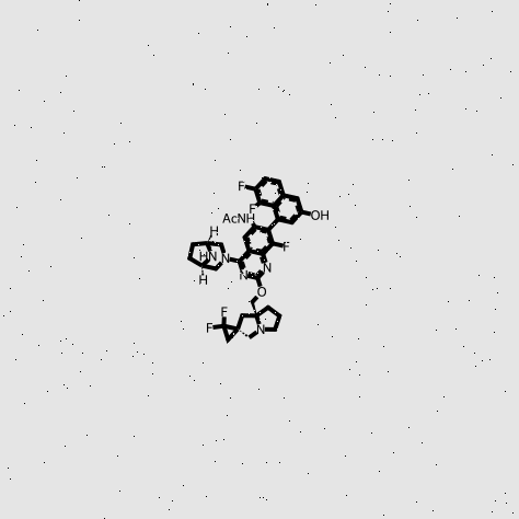 CC(=O)Nc1cc2c(N3C[C@H]4CC[C@@H](C3)N4)nc(OC[C@@]34CCCN3C[C@@]3(CC3(F)F)C4)nc2c(F)c1-c1cc(O)cc2ccc(F)c(F)c12